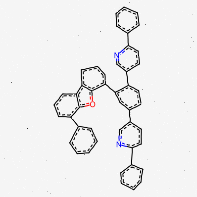 c1ccc(-c2ccc(-c3ccc(-c4ccc(-c5ccccc5)nc4)c(-c4cccc5c4oc4c(-c6ccccc6)cccc45)c3)cn2)cc1